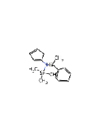 C[SiH](c1ccccc1)N(C1=CC=CC1)[Si](C)(C)C